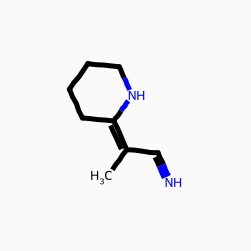 C/C(C=N)=C1\CCCCN1